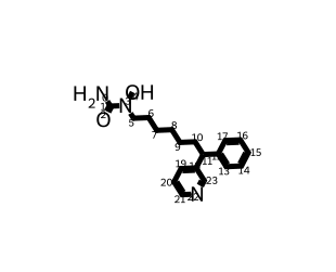 NC(=O)N(O)CCCCCCC(c1ccccc1)c1cccnc1